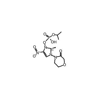 CC(C)OP(=O)(O)ON1C([N+](=O)[O-])=CN(N2CCOCC2=O)[C@@H]1C